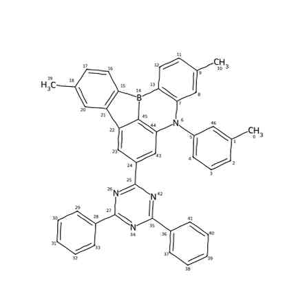 Cc1cccc(N2c3cc(C)ccc3B3c4ccc(C)cc4-c4cc(-c5nc(-c6ccccc6)nc(-c6ccccc6)n5)cc2c43)c1